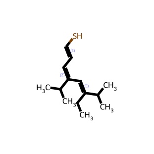 CC\C(=C/C(=C\C=C\S)C(C)C)C(C)C